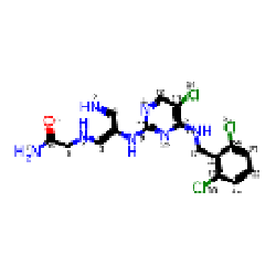 N=C/C(=C\NCC(N)=O)Nc1ncc(Cl)c(NCc2c(Cl)cccc2Cl)n1